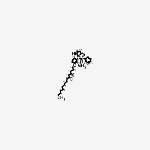 CCCCCCCCCCC(Cl)CC(Cl)CCCOc1cccc(N(C(=O)Nc2ccccc2)n2[nH]ccc2=O)c1OC